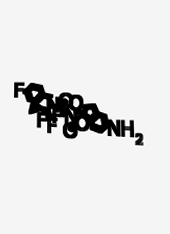 Nc1ccc2c(c1)CCC21OC(=O)N(CC(=O)N(Cc2ccc(F)cc2)[C@H](C2CC2)C(F)(F)F)C1=O